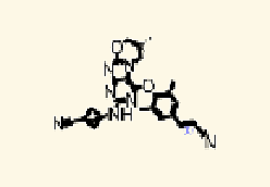 Cc1cc(/C=C/C#N)cc(C)c1Oc1nc(NC23CC(C#N)(C2)C3)nc2nc3n(c12)C[C@@H](C)CO3